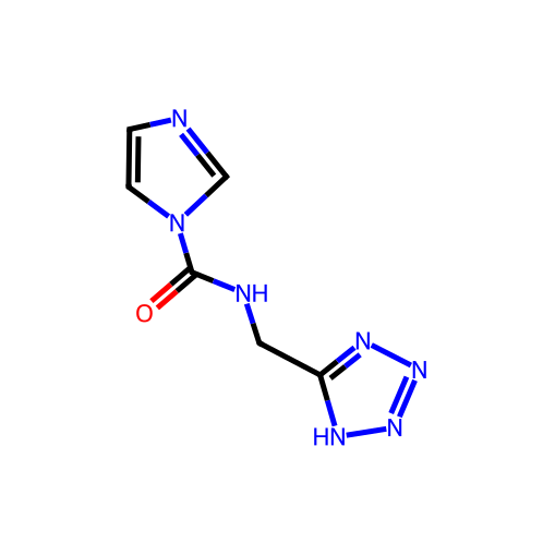 O=C(NCc1nnn[nH]1)n1ccnc1